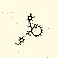 COc1ccc(COCC(=O)NC2CCCCCCCCCC3CC(NC(=O)COc4ccc(Cl)c(F)c4)(C3)C2)cn1